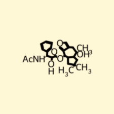 CC(=O)N[C@H](c1ccccc1)C(O)C(=O)OC1c2cocc2CC(C)(O)C2CC(C)(C)CC12